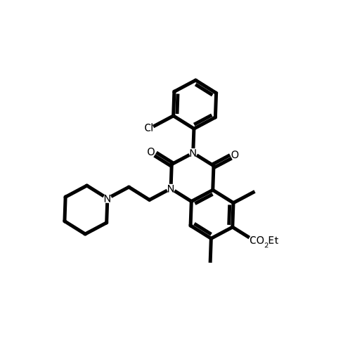 CCOC(=O)c1c(C)cc2c(c1C)c(=O)n(-c1ccccc1Cl)c(=O)n2CCN1CCCCC1